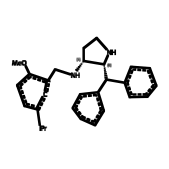 COc1ccc(C(C)C)cc1CN[C@@H]1CCN[C@@H]1C(c1ccccc1)c1ccccc1